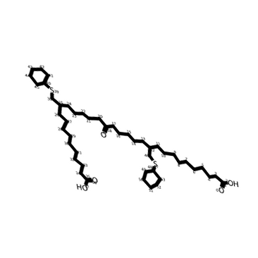 O=C(O)CCCCCCCCCC(CCCCCC(=O)CCCCCC(CCCCCCCCCC(=O)O)CSC1CCCCC1)CSC1CCCCC1